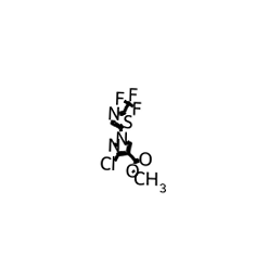 COC(=O)c1cn(-c2cnc(C(F)(F)F)s2)nc1Cl